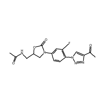 CC(=O)NCC1CN(c2ccc(-n3cc(C(C)=O)nn3)c(F)c2)C(=O)O1